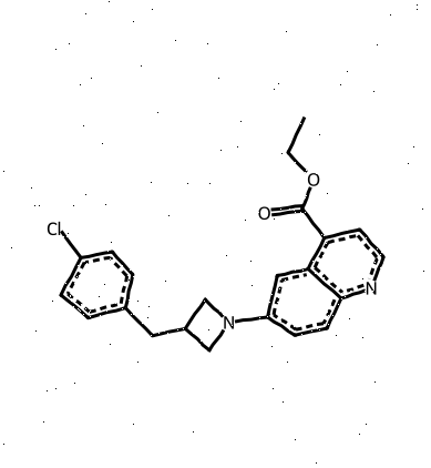 CCOC(=O)c1ccnc2ccc(N3CC(Cc4ccc(Cl)cc4)C3)cc12